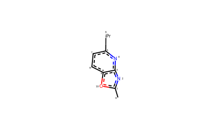 Cc1nc2nc(C(C)C)ccc2o1